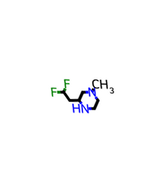 CN1CCNC(CC(F)F)C1